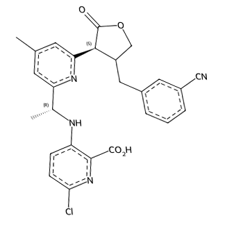 Cc1cc([C@H]2C(=O)OCC2Cc2cccc(C#N)c2)nc([C@@H](C)Nc2ccc(Cl)nc2C(=O)O)c1